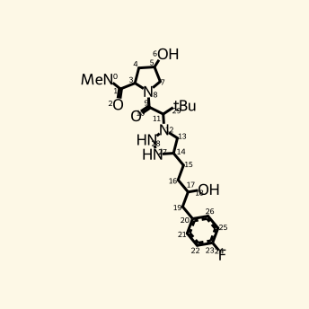 CNC(=O)C1CC(O)CN1C(=O)C(N1CC(CCC(O)Cc2ccc(F)cc2)NN1)C(C)(C)C